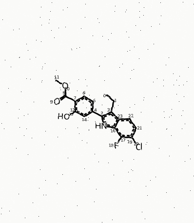 CCc1c(-c2ccc(C(=O)OC)c(O)c2)[nH]c2c(F)c(Cl)ccc12